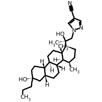 CCC[C@@]1(O)CC[C@H]2[C@H](CC[C@@H]3[C@@H]2CC[C@@]2(C)[C@H]3[C@H](C)CC[C@@H]2[C@@](C)(O)Cn2cc(C#N)cn2)C1